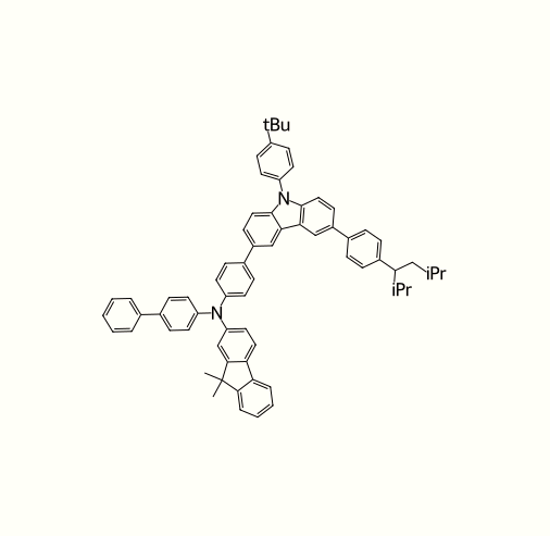 CC(C)CC(c1ccc(-c2ccc3c(c2)c2cc(-c4ccc(N(c5ccc(-c6ccccc6)cc5)c5ccc6c(c5)C(C)(C)c5ccccc5-6)cc4)ccc2n3-c2ccc(C(C)(C)C)cc2)cc1)C(C)C